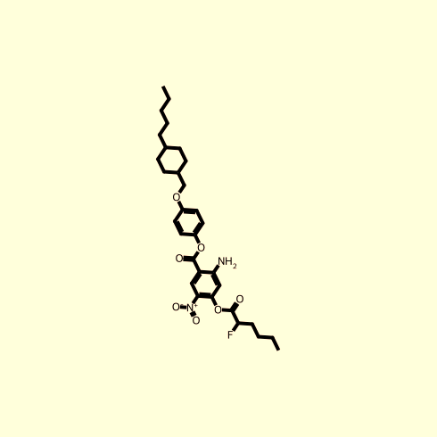 CCCCCC1CCC(COc2ccc(OC(=O)c3cc([N+](=O)[O-])c(OC(=O)C(F)CCCC)cc3N)cc2)CC1